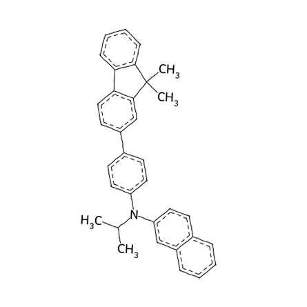 CC(C)N(c1ccc(-c2ccc3c(c2)C(C)(C)c2ccccc2-3)cc1)c1ccc2ccccc2c1